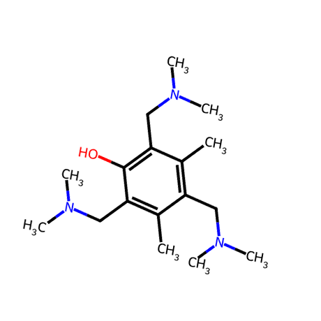 Cc1c(CN(C)C)c(C)c(CN(C)C)c(O)c1CN(C)C